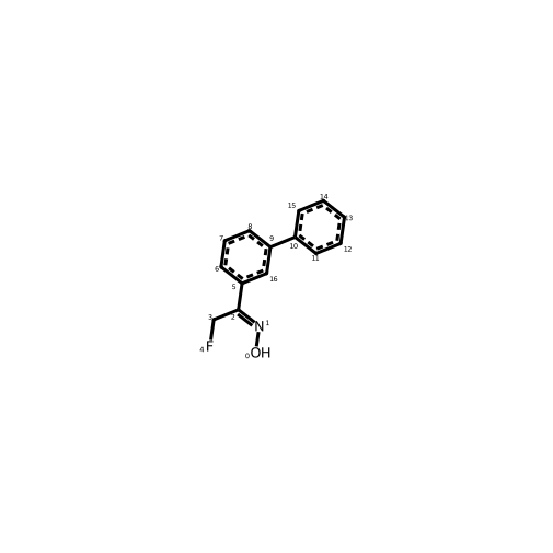 ON=C(CF)c1cccc(-c2ccccc2)c1